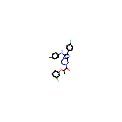 Cc1ccc(Nc2c(-c3ccc(F)cc3)nc3n2CCN(C(=O)C(C)Oc2cccc(Cl)c2)C3)cc1